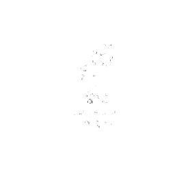 CN(C)c1ncnc2c1ncn2[C@@H]1O[C@H](COP(=O)(S)OP(=O)(O)OC2OC([C@@H](O)CO)C(O)C(O)C2O)[C@@H](O)[C@@]1(C)O